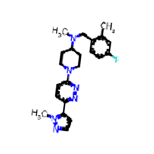 Cc1cc(F)ccc1CN(C)C1CCN(c2ccc(-c3ccnn3C)nn2)CC1